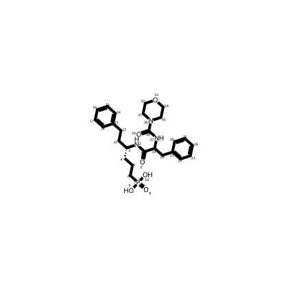 O=C(N[C@H](CCCP(=O)(O)O)CCc1ccccc1)C(Cc1ccccc1)NC(=O)N1CCOCC1